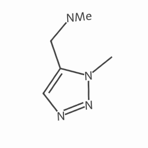 CNCc1cnnn1C